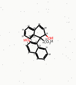 O=C(O)C1(c2c(O)ccc3ccccc23)c2ccccc2C=CC1O